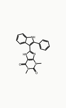 Cn1c(=O)c2[nH]c(-c3c(-c4ccccc4)[nH]c4ccccc34)nc2n(C)c1=O